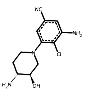 N#Cc1cc(N)c(Cl)c(N2CC[C@@H](N)[C@H](O)C2)c1